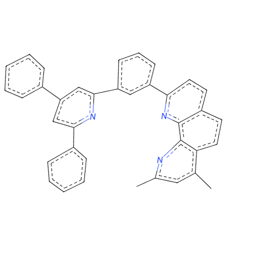 Cc1cc(C)c2ccc3ccc(-c4cccc(-c5cc(-c6ccccc6)cc(-c6ccccc6)n5)c4)nc3c2n1